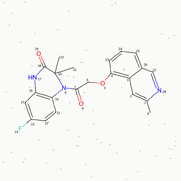 Cc1cc2c(OCC(=O)N3c4ccc(F)cc4NC(=O)C3(C)C)cccc2cn1